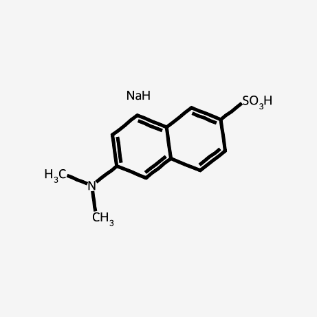 CN(C)c1ccc2cc(S(=O)(=O)O)ccc2c1.[NaH]